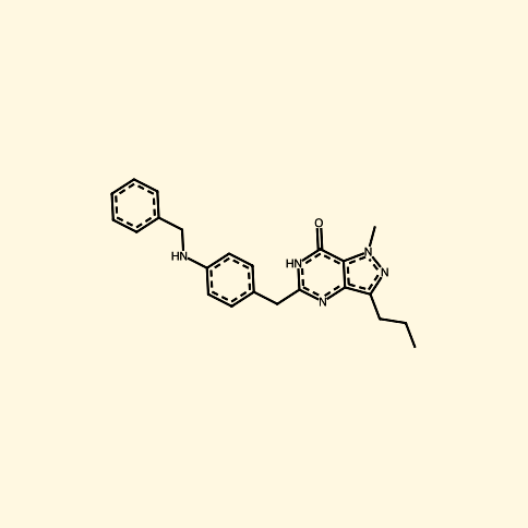 CCCc1nn(C)c2c(=O)[nH]c(Cc3ccc(NCc4ccccc4)cc3)nc12